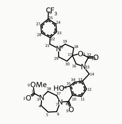 COC(=O)N1CCCN(C(=O)c2ccc(CN3CC4(CCN(Cc5ccc(C(F)(F)F)cc5)CC4)OC3=O)cc2O)CC1